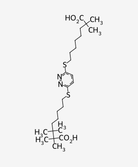 CC(C)(CCCCCCSc1ccc(SCCCCCC(C)(C)C(C)(C)C(=O)O)nn1)C(=O)O